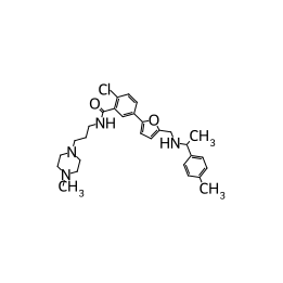 Cc1ccc(C(C)NCc2ccc(-c3ccc(Cl)c(C(=O)NCCCN4CCN(C)CC4)c3)o2)cc1